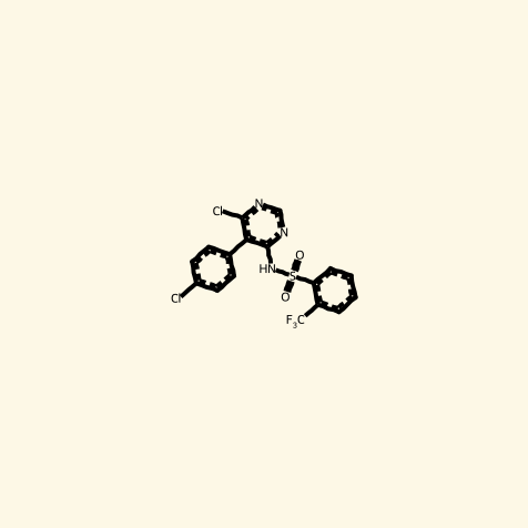 O=S(=O)(Nc1ncnc(Cl)c1-c1ccc(Cl)cc1)c1ccccc1C(F)(F)F